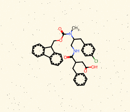 CN(C(=O)OCC1c2ccccc2-c2ccccc21)C(CNC(=O)C(CC(=O)O)Cc1ccccc1)Cc1ccc(Cl)cc1